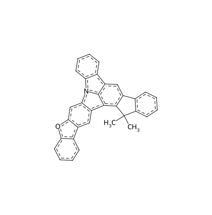 CC1(C)c2ccccc2-c2cc3c4ccccc4n4c5cc6oc7ccccc7c6cc5c(c21)c34